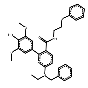 CCN(Cc1ccccc1)c1ccc(C(=O)NCCOc2ccccc2)c(-c2cc(OC)c(O)c(OC)c2)n1